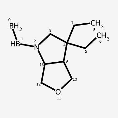 BBN1CC(CC)(CC)C2COCC21